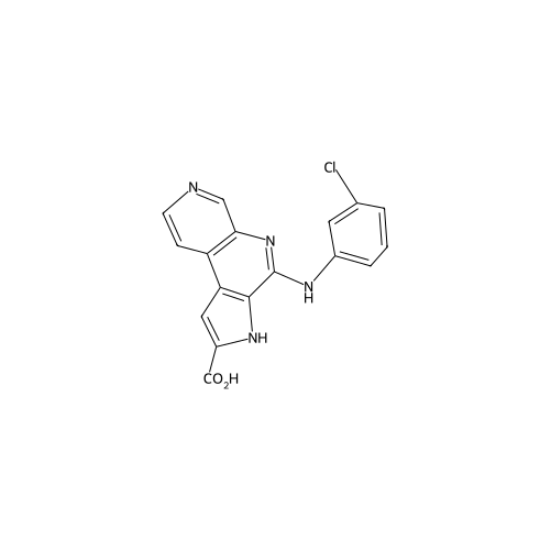 O=C(O)c1cc2c([nH]1)c(Nc1cccc(Cl)c1)nc1cnccc12